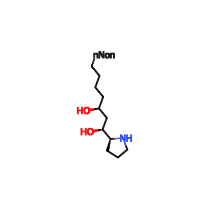 CCCCCCCCCCCCC[C@H](O)C[C@H](O)[C@@H]1CCCN1